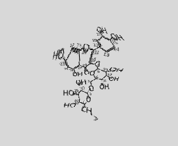 CC1O[C@@H](OCC2O[C@@H](Oc3c(-c4ccc(O)c(O)c4)oc4cc(O)cc(O)c4c3=O)C(O)C(O)[C@@H]2O)[C@@H](O)C(O)[C@H]1O